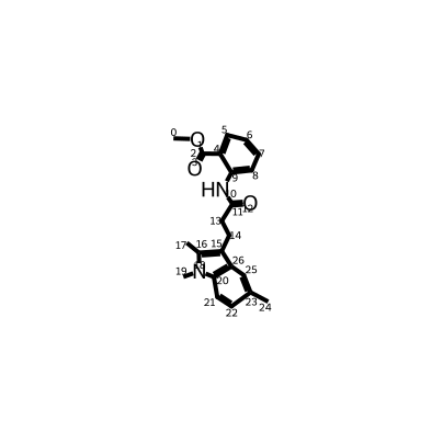 COC(=O)c1ccccc1NC(=O)CCc1c(C)n(C)c2ccc(C)cc12